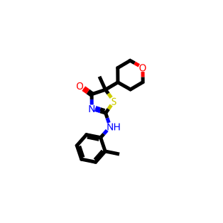 Cc1ccccc1NC1=NC(=O)C(C)(C2CCOCC2)S1